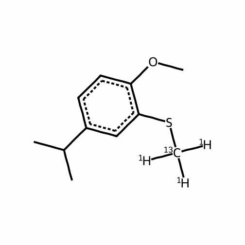 [1H][13C]([1H])([1H])Sc1cc(C(C)C)ccc1OC